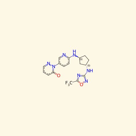 O=c1cccnn1-c1ccc(N[C@H]2CC[C@H](Nc3noc(C(F)(F)F)n3)C2)nc1